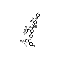 CC1(C)CCC(CN2CCN(c3ccc(C(=O)NS(=O)(=O)c4ccc(NCC5CCOCC5)c([N+](=O)[O-])c4)c(N4CCCOc5nc6nccn6cc54)c3)CC2)=C(c2ccc(Cl)cc2)C1